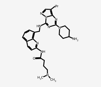 CC(C)c1cnn2c(NCc3cccc4ccc(NC(=O)CCCN(C)C)nc34)nc(N3CCC(N)CC3)nc12